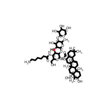 CC1O[C@@H](OC2C(O)[C@@H](NC(=O)CCCCCN)C(CO)O[C@H]2OC(=O)[C@]23CCC(C)(C)CC2C2=CCC4C5(C)CC[C@H](O)[C@](C)(C=O)[C@@H]5CCC4(C)[C@]2(C)CC3O)C(O)C(O)[C@H]1O[C@@H]1OC[C@@H](O)C(O)C1O